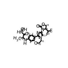 C[C@H](Nc1ccc2c(c1)OCCn1cc(N3C(=O)OCC3C(F)F)nc1-2)C(=O)NO